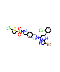 O=S(=O)(NCc1ccc(CNc2cc(-c3ccccc3Cl)nc3c(Br)cnn23)cc1)c1ccc(Cl)s1